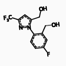 OCc1cc(F)ccc1-n1nc(C(F)(F)F)cc1CO